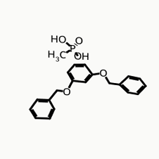 CP(=O)(O)O.c1ccc(COc2cccc(OCc3ccccc3)c2)cc1